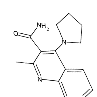 Cc1nc2c[c]ccc2c(N2CCCC2)c1C(N)=O